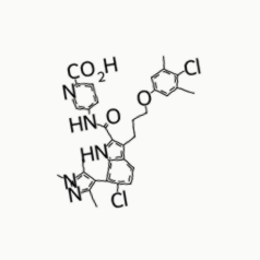 Cc1cc(OCCCc2c(C(=O)Nc3ccc(C(=O)O)nc3)[nH]c3c(-c4c(C)nn(C)c4C)c(Cl)ccc23)cc(C)c1Cl